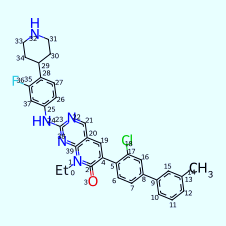 CCn1c(=O)c(-c2ccc(-c3cccc(C)c3)cc2Cl)cc2cnc(Nc3ccc(C4CCNCC4)c(F)c3)nc21